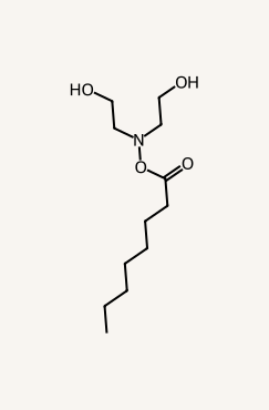 CCCCCCCC(=O)ON(CCO)CCO